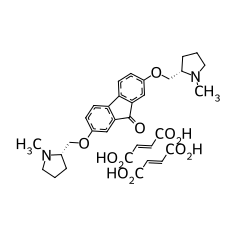 CN1CCC[C@H]1COc1ccc2c(c1)C(=O)c1cc(OC[C@@H]3CCCN3C)ccc1-2.O=C(O)C=CC(=O)O.O=C(O)C=CC(=O)O